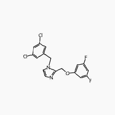 Fc1cc(F)cc(OCc2nccn2Cc2cc(Cl)cc(Cl)c2)c1